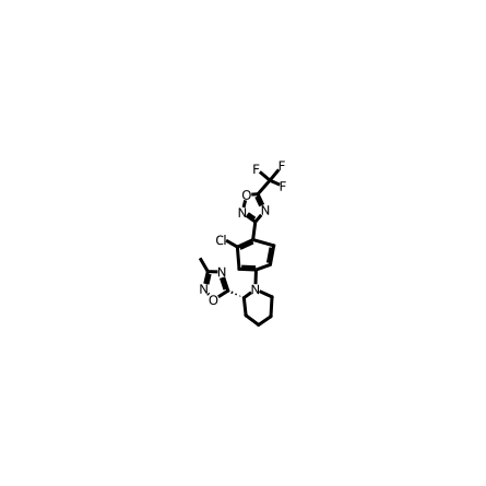 Cc1noc([C@H]2CCCCN2c2ccc(-c3noc(C(F)(F)F)n3)c(Cl)c2)n1